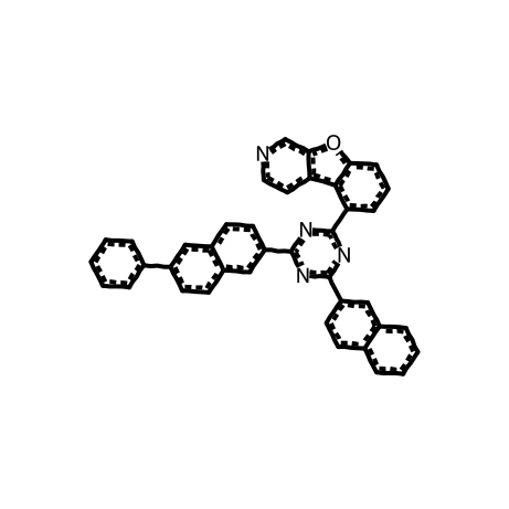 c1ccc(-c2ccc3cc(-c4nc(-c5ccc6ccccc6c5)nc(-c5cccc6oc7cnccc7c56)n4)ccc3c2)cc1